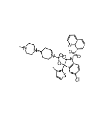 Cc1ccsc1C1(OC(=O)N2CCC(N3CCN(C)CC3)CC2)C(=O)N(S(=O)(=O)c2cccc3cccnc23)c2ccc(Cl)cc21